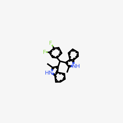 Cc1[nH]c2ccccc2c1C(c1ccc(F)c(F)c1)c1c(C)[nH]c2ccccc12